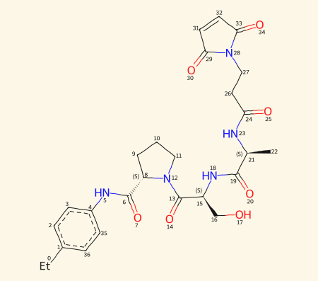 CCc1ccc(NC(=O)[C@@H]2CCCN2C(=O)[C@H](CO)NC(=O)[C@H](C)NC(=O)CCN2C(=O)C=CC2=O)cc1